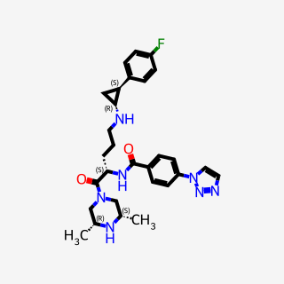 C[C@@H]1CN(C(=O)[C@H](CCCN[C@@H]2C[C@H]2c2ccc(F)cc2)NC(=O)c2ccc(-n3ccnn3)cc2)C[C@H](C)N1